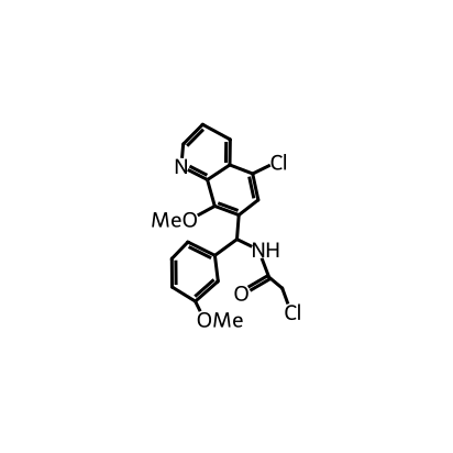 COc1cccc(C(NC(=O)CCl)c2cc(Cl)c3cccnc3c2OC)c1